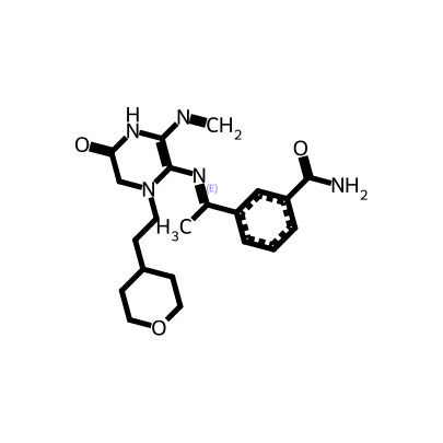 C=NC1=C(/N=C(\C)c2cccc(C(N)=O)c2)N(CCC2CCOCC2)CC(=O)N1